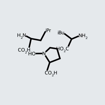 CC(C)CC(N)C(=O)O.CCC(C)C(N)C(=O)O.O=C(O)C1CCCN1O